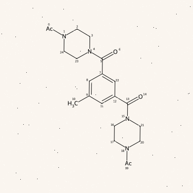 CC(=O)N1CCN(C(=O)c2cc(C)cc(C(=O)N3CCN(C(C)=O)CC3)c2)CC1